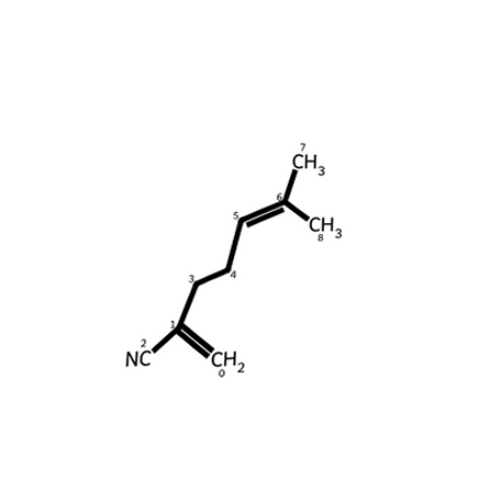 C=C(C#N)CCC=C(C)C